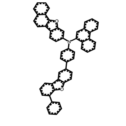 c1ccc(-c2cccc3c2oc2ccc(-c4ccc(N(c5ccc6c(c5)oc5c7ccccc7ccc65)c5cc6ccccc6c6ccccc56)cc4)cc23)cc1